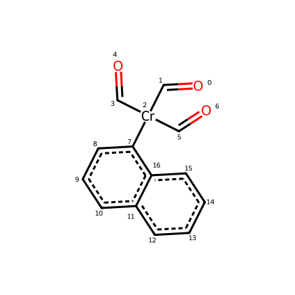 O=[CH][Cr]([CH]=O)([CH]=O)[c]1cccc2ccccc12